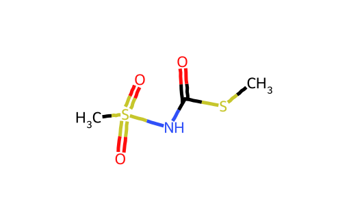 CSC(=O)NS(C)(=O)=O